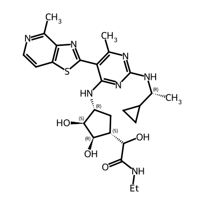 CCNC(=O)C(O)[C@H]1C[C@@H](Nc2nc(N[C@H](C)C3CC3)nc(C)c2-c2nc3c(C)nccc3s2)[C@H](O)[C@@H]1O